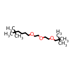 CC(C)(C)CCCCOCCOCCOCC(C)(C)C